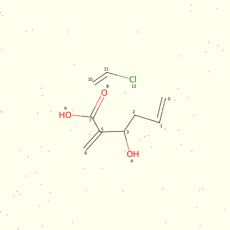 C=CCC(O)C(=C)C(=O)O.C=CCl